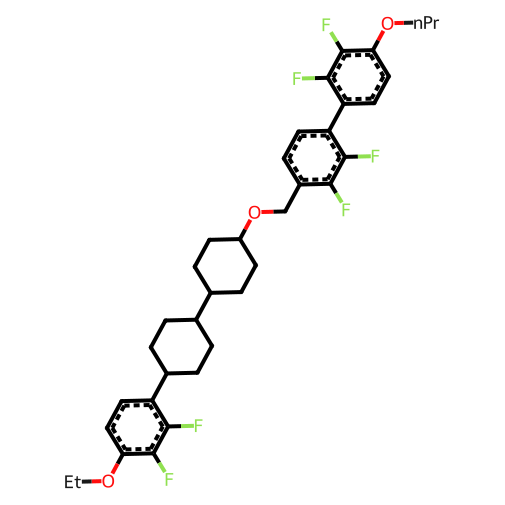 CCCOc1ccc(-c2ccc(COC3CCC(C4CCC(c5ccc(OCC)c(F)c5F)CC4)CC3)c(F)c2F)c(F)c1F